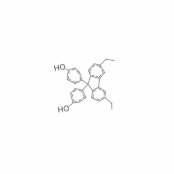 CCc1ccc2c(c1)-c1cc(CC)ccc1C2(c1ccc(O)cc1)c1ccc(O)cc1